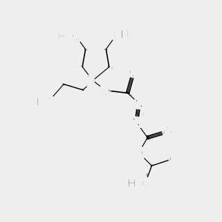 CCC[Si](CCC)(CCC)OC(=O)/N=N/C(=O)OC(C)C